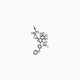 CC#CC(=O)N[C@H]1CCN(c2nc(-c3ccc(Oc4ccccc4)cc3)c(C(N)=O)c3[nH]c(=O)c(=O)[nH]c23)C1